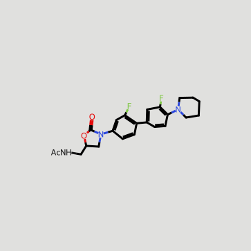 CC(=O)NCC1CN(c2ccc(-c3ccc(N4CCCCC4)c(F)c3)c(F)c2)C(=O)O1